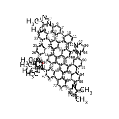 Cc1ncn(-c2ccc(-c3ccccc3-c3cc(-c4ccccc4-c4ccc(-n5cnc(C)c5C)cc4)cc(-c4cccc(-c5cc(-c6ccccc6-c6ccc(-n7cnc(C)c7C)cc6)cc(-c6ccccc6-c6ccc(-n7cnc(C)c7C)cc6)c5)c4-c4ccc(-c5ncccn5)cc4)c3)cc2)c1C